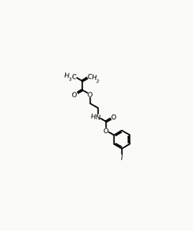 C=C(C)C(=O)OCCNC(=O)Oc1cccc(I)c1